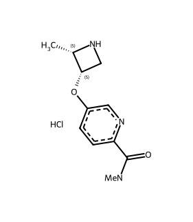 CNC(=O)c1ccc(O[C@H]2CN[C@H]2C)cn1.Cl